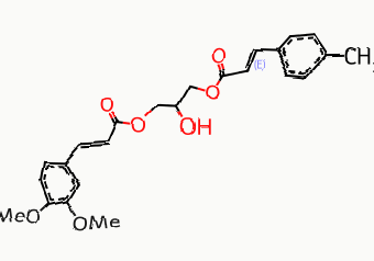 COc1ccc(C=CC(=O)OCC(O)COC(=O)/C=C/c2ccc(C)cc2)cc1OC